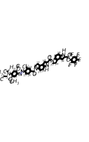 CCCN(CC)c1cc(OC)c(/N=N/c2ccc(C(=O)N3CCc4c3ccc3[nH]c(C(=O)N5CCc6c5ccc5[nH]c(C(=O)Oc7c(F)c(F)c(F)c(F)c7F)cc65)cc43)cc2Cl)cc1OC